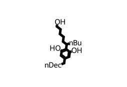 CCCCCCCCCCCc1cc(O)c(C(CCCC)CCCCCO)c(O)c1